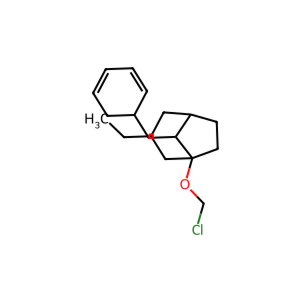 CCC1CC2CCC(OCCl)(C1)C2CC1C=CC=CC1